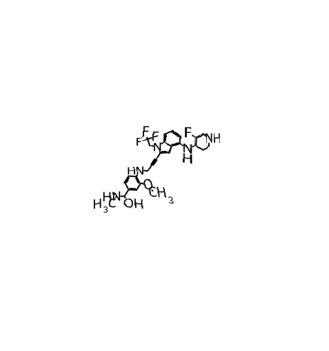 CNC(O)c1ccc(NCC#Cc2cc3c(N[C@@H]4CCNC[C@@H]4F)cccc3n2CC(F)(F)F)c(OC)c1